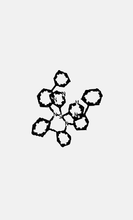 c1ccc(-c2cccc(N3c4ccccc4-c4ccccc4N(c4cccc(-c5ccccc5)n4)[Si]3(c3cccnc3)c3cccnc3)n2)cc1